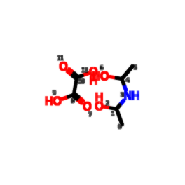 CC(O)NC(C)O.O=C(O)C(=O)O